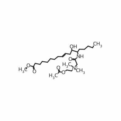 CCCCCC(NC(=O)C[N+](C)(C)CCOC(C)=O)C(O)CC=CCCCCCCCC(=O)OC